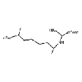 CCCCCC(CCCC)NC(C)CCCCC(C)CCCC